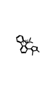 CC1=CCC(c2cccc3c2C([SiH](C)C)c2ccccc2-3)=C1C